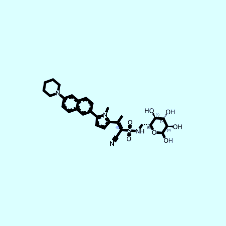 C/C(=C(/C#N)S(=O)(=O)NC[C@H]1OC(O)[C@H](O)[C@@H](O)[C@@H]1O)c1ccc(-c2ccc3cc(N4CCCCC4)ccc3c2)n1C